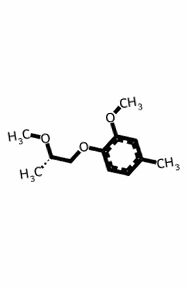 COc1cc(C)ccc1OC[C@H](C)OC